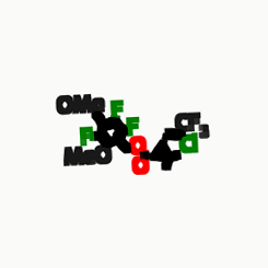 COCc1c(F)c(F)c(COC(=O)[C@@H]2[C@H](/C=C(\Cl)C(F)(F)F)C2(C)C)c(OC)c1F